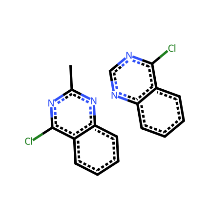 Cc1nc(Cl)c2ccccc2n1.Clc1ncnc2ccccc12